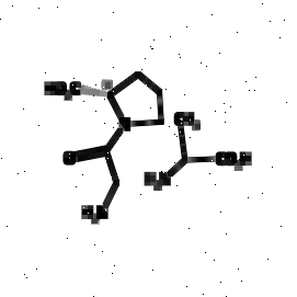 CC(N)C(=O)O.NCC(=O)N1CCC[C@H]1C(=O)O